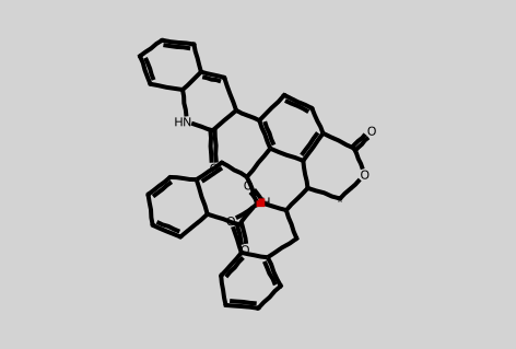 O=C1O[C]C(C2Cc3ccccc3OC2=O)c2c1ccc(C1C=C3C=CC=CC3NC1=O)c2C1C=C2C=CC=CC2C(=O)N1